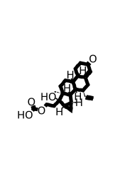 C=C[C@H]1CC2=CC(=O)CC[C@@H]2[C@H]2CC[C@@]3(C)[C@@H]([C@H]4C[C@H]4[C@@]3(O)CCOC(=O)O)[C@@H]21